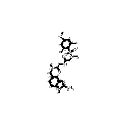 COc1cc(C)c(S(=O)(=O)N(C)CC(=O)NCC(=O)N(C)Cc2ccc3c(c2)nc(N)n3C)c(C)c1